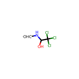 O=[C]NC(O)C(Cl)(Cl)Cl